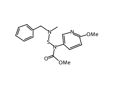 COC(=O)N(SN(C)Cc1ccccc1)c1ccc(OC)nc1